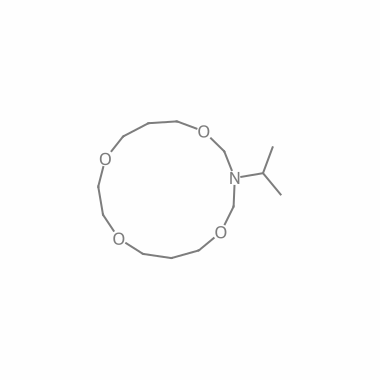 CC(C)N1COCCCOCCOCCCOC1